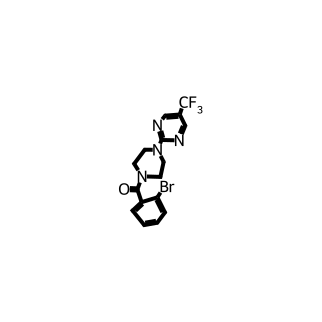 O=C(c1ccccc1Br)N1CCN(c2ncc(C(F)(F)F)cn2)CC1